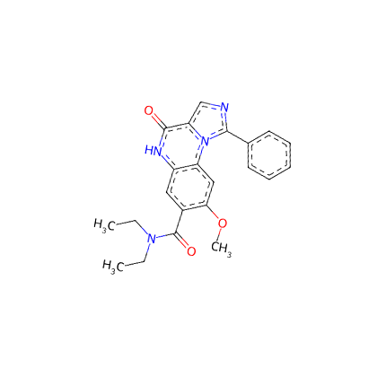 CCN(CC)C(=O)c1cc2[nH]c(=O)c3cnc(-c4ccccc4)n3c2cc1OC